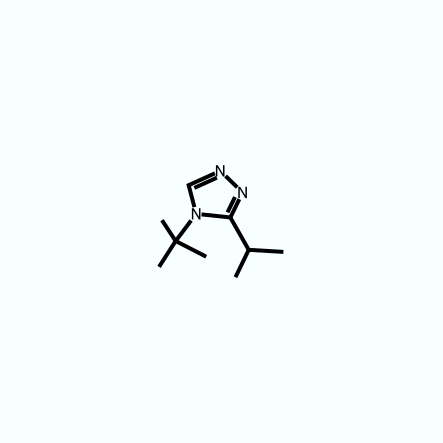 CC(C)c1nncn1C(C)(C)C